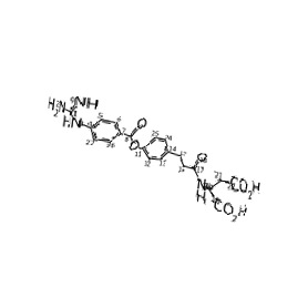 N=C(N)Nc1ccc(C(=O)Oc2ccc(CCC(=O)N[C@@H](CC(=O)O)C(=O)O)cc2)cc1